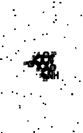 COc1ccc2c(c1C)C(c1ccc[nH]c1=O)=NC(C)O2